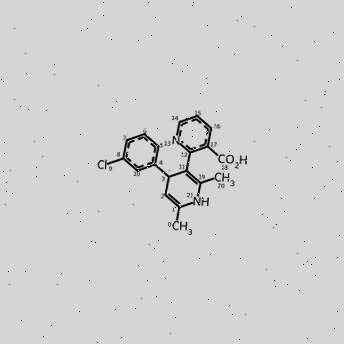 CC1=CC(c2cccc(Cl)c2)C(c2ncccc2C(=O)O)=C(C)N1